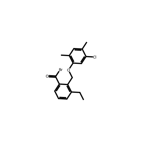 CCc1cccc(C(=O)Br)c1COc1cc(Cl)c(C)cc1C